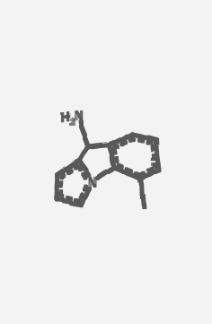 Cc1cccc2c1-n1cccc1C2N